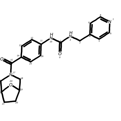 O=C(NCc1ccncc1)Nc1ccc(C(=O)N2CC3CCC(C2)O3)cc1